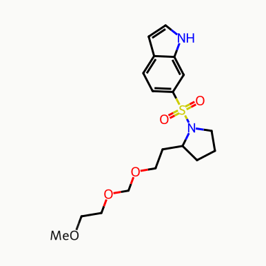 COCCOCOCCC1CCCN1S(=O)(=O)c1ccc2cc[nH]c2c1